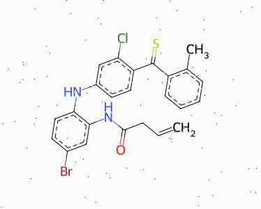 C=CCC(=O)Nc1cc(Br)ccc1Nc1ccc(C(=S)c2ccccc2C)c(Cl)c1